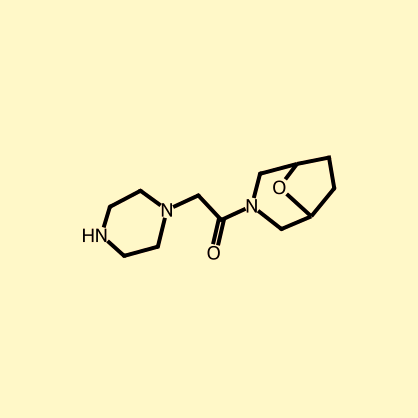 O=C(CN1CCNCC1)N1CC2CCC(C1)O2